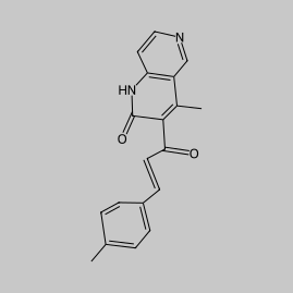 Cc1ccc(C=CC(=O)c2c(C)c3cnccc3[nH]c2=O)cc1